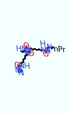 CC=C1NC(=O)N(CCCCCCNC(=O)N(C)/C=N\C=C\CCC)C(=O)N1CCCCCCNC(=O)n1cncn1